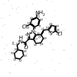 C[C@H](NC(=O)c1nn(-c2ccc(N)cc2Cl)c2c1CCC/C2=C\c1ccc(Cl)s1)C1CCCCC1